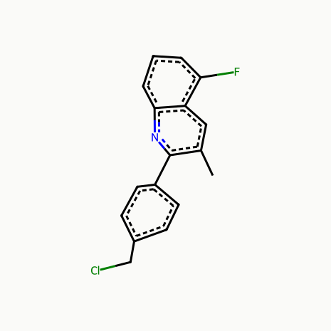 Cc1cc2c(F)cccc2nc1-c1ccc(CCl)cc1